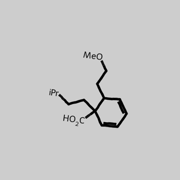 COCCC1C=CC=CC1(CCC(C)C)C(=O)O